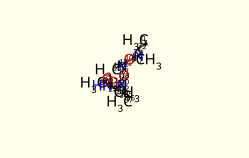 C/C=C\C=C/CN(C)CCOCCN(CC)CCOCCN(/C=C(\C)CC(=O)NC(C)=O)C/C=C\C=C/C